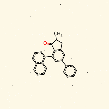 CC1Cc2cc(-c3ccccc3)cc(-c3cccc4ccccc34)c2C1=O